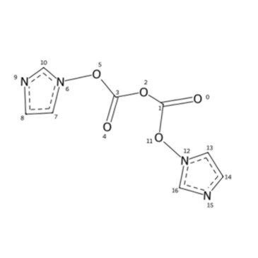 O=C(OC(=O)On1ccnc1)On1ccnc1